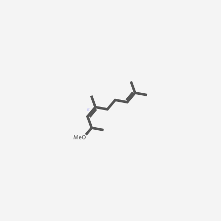 COC(C)/C=C(/C)CCC=C(C)C